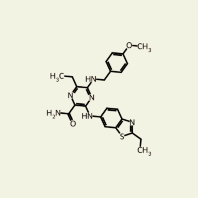 CCc1nc2ccc(Nc3nc(NCc4ccc(OC)cc4)c(CC)nc3C(N)=O)cc2s1